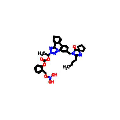 CCCCC1=NC2(CCCC2)C(=O)N1Cc1ccc(-c2ccccc2-c2nnn(C(C)OC(=O)Oc3ccccc3CON(O)O)n2)cc1